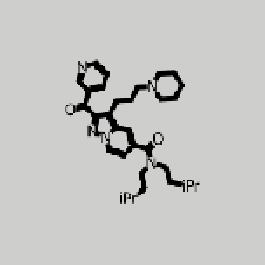 CC(C)CCN(CCC(C)C)C(=O)c1ccn2nc(C(=O)c3cccnc3)c(CCCN3CCCCC3)c2c1